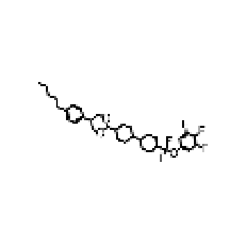 CCCCCc1ccc(C2COC(C3CCC(C4CCC(C(F)(F)Oc5cc(F)c(F)c(F)c5)CC4)CC3)OC2)cc1